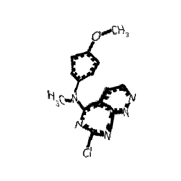 COc1ccc(N(C)c2nc(Cl)nc3nnccc23)cc1